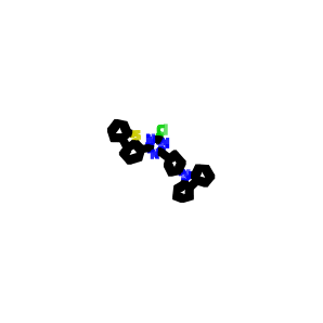 Clc1nc(-c2ccc(-n3c4ccccc4c4ccccc43)cc2)nc(-c2cccc3c2sc2ccccc23)n1